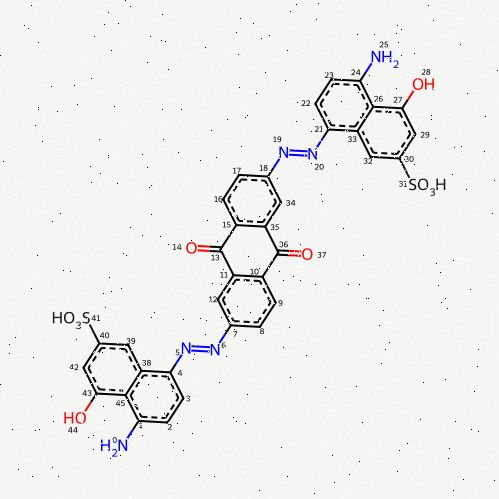 Nc1ccc(N=Nc2ccc3c(c2)C(=O)c2ccc(N=Nc4ccc(N)c5c(O)cc(S(=O)(=O)O)cc45)cc2C3=O)c2cc(S(=O)(=O)O)cc(O)c12